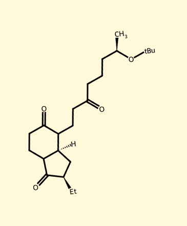 CC[C@@H]1C[C@@H]2C(CCC(=O)CCC[C@@H](C)OC(C)(C)C)C(=O)CCC2C1=O